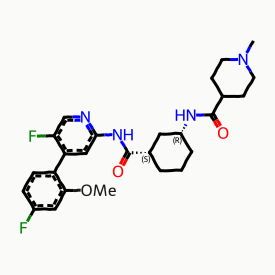 COc1cc(F)ccc1-c1cc(NC(=O)[C@H]2CCC[C@@H](NC(=O)C3CCN(C)CC3)C2)ncc1F